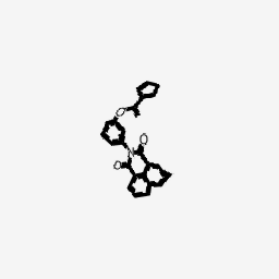 CC(Oc1cccc(N2C(=O)c3cccc4cccc(c34)C2=O)c1)C1=CCC=C1